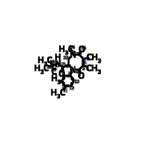 C/C1=C(\C)C(=O)N(c2ccc(C)cc2)C(C(=O)NC(C)(C)C)CN(C)C1=O